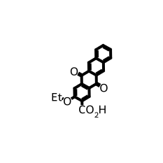 CCOc1cc2c(cc1C(=O)O)C(=O)c1cc3ccccc3cc1C2=O